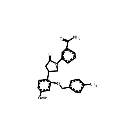 COc1ccc(C2CC(=O)N(c3cccc(C(N)=O)c3)C2)c(OCc2ccc(C)cc2)c1